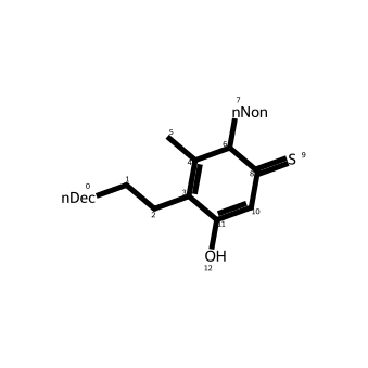 CCCCCCCCCCCCC1=C(C)C(CCCCCCCCC)C(=S)C=C1O